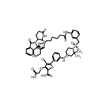 CC1(C)C[C@@H](Nc2cccc(-c3sc(C(=O)O)c(OCC(=O)O)c3Cl)c2)CCN1S(=O)(=O)Cc1cccc(NC(=O)CCCCCn2cc(CNc3cccc4c3C(=O)N(C3CCC(=O)NC3=O)C4=O)nn2)c1